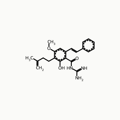 C=C(C)CCc1c(OC)cc(/C=C/c2ccccc2)c(C(=O)NC(=N)N)c1O